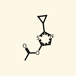 CC(=O)Oc1cnc(C2CC2)s1